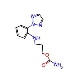 NC(=O)OCCCNc1ccccc1-n1nccn1